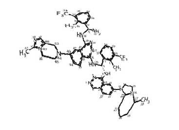 Cc1c([C@H](Nc2nncc3ccc(N4CCN5C(C)CCCC45)cc23)Nc2nnc(N[C@H](N)c3cccc(C(F)(F)F)c3C)c3cc(N4CCn5c(cnc5C)C4)ccc23)cccc1C(F)(F)F